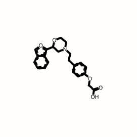 O=C(O)COc1ccc(CCN2CCOC(c3occ4ccccc34)C2)cc1